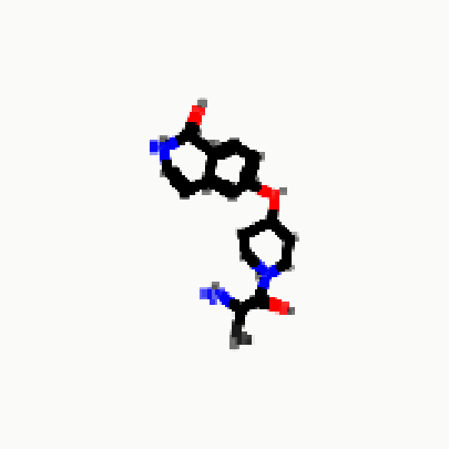 CCCCC(N)C(=O)N1CCC(Oc2ccc3c(=O)[nH]ccc3c2)CC1